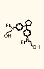 CCN(CCO)c1ccc(C2(c3ccc(N(CC)CCO)cc3)CCCC2)cc1